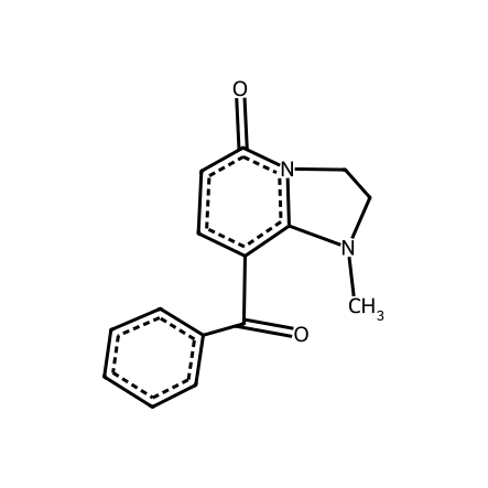 CN1CCn2c1c(C(=O)c1ccccc1)ccc2=O